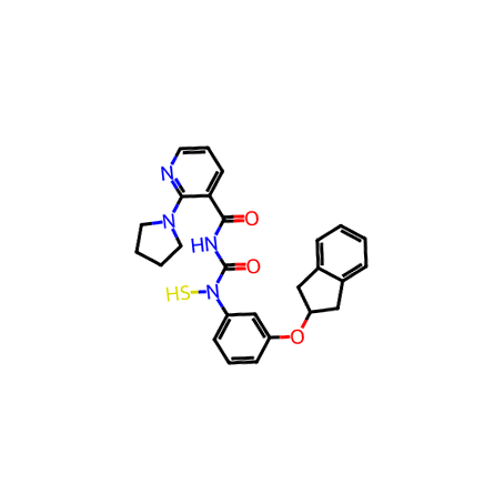 O=C(NC(=O)N(S)c1cccc(OC2Cc3ccccc3C2)c1)c1cccnc1N1CCCC1